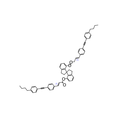 CCCCc1ccc(C#Cc2ccc(/C=C/COOc3cccc4c3C3(CC4)CCc4cccc(OC(=O)/C=C/c5ccc(C#Cc6ccc(CCCC)cc6)cc5)c43)cc2)cc1